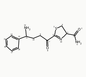 NC(=O)C1CSC(C(=O)CCC(N)c2ccccc2)=N1